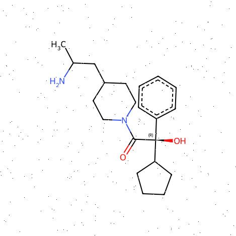 CC(N)CC1CCN(C(=O)[C@](O)(c2ccccc2)C2CCCC2)CC1